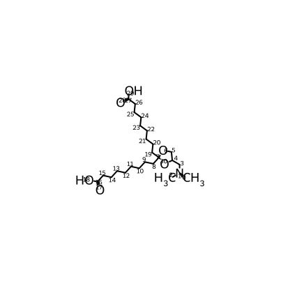 CN(C)CC1COC(CCCCCCCCC(=O)O)(CCCCCCCCC(=O)O)O1